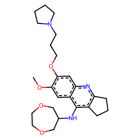 COc1cc2c(NC3COCCOC3)c3c(nc2cc1OCCCN1CCCC1)CCC3